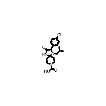 CC(C)CN1C(c2ccc(Cl)cc2)C(=O)NC12CCN(C(=O)O)CC2